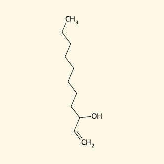 C=CC(O)CCCCCCCC